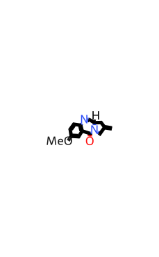 C=C1C[C@H]2C=Nc3ccc(OC)cc3C(=O)N2C1